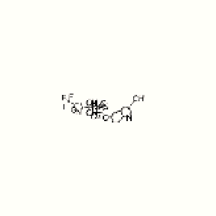 C#Cc1cnc2ccc(OC(SC)C(=O)NC(C)(C)C3=NOC(C(F)(F)F)C3)cc2c1